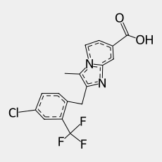 Cc1c(Cc2ccc(Cl)cc2C(F)(F)F)nc2cc(C(=O)O)ccn12